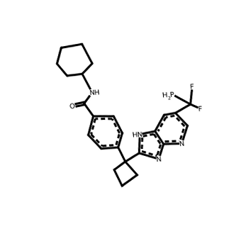 O=C(NC1CCCCC1)c1ccc(C2(c3nc4ncc(C(F)(F)P)cc4[nH]3)CCC2)cc1